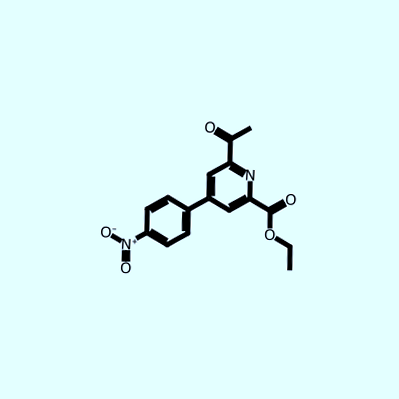 CCOC(=O)c1cc(-c2ccc([N+](=O)[O-])cc2)cc(C(C)=O)n1